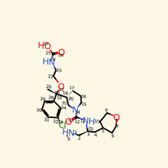 CNC[C@H](CC1CCOCC1)NC(=O)N1CCC[C@@H]([C@@](C)(OCCNC(=O)O)c2cccc(Cl)c2)C1